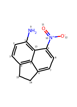 Nc1ccc2c3c(ccc([N+](=O)[O-])c13)CC2